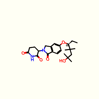 CC[C@H](Oc1ccc2c(c1)CN(C1CCC(=O)NC1=O)C2=O)C(C)(C)CC(C)(C)O